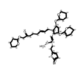 CO[C@H](C=C[C@@H]1[C@@H](CC=CCCCC(=O)COC2CCCCO2)[C@@H](OC2CCCCO2)C[C@H]1OC1CCCCO1)CCc1ccc(Br)s1